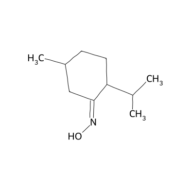 CC1CCC(C(C)C)C(=NO)C1